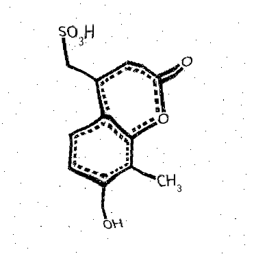 Cc1c(O)ccc2c(CS(=O)(=O)O)cc(=O)oc12